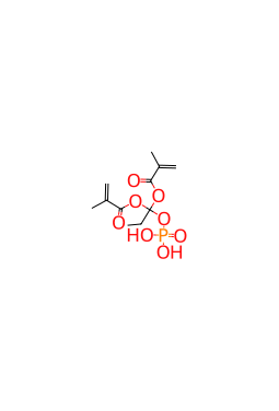 C=C(C)C(=O)OC(CC)(OC(=O)C(=C)C)OP(=O)(O)O